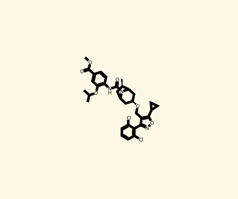 COC(=O)c1ccc(NC(=O)N2C3C[C@H](OCc4c(-c5c(Cl)cccc5Cl)noc4C4CC4)CC2[C@H](C)C3)c(OC(C)C)c1